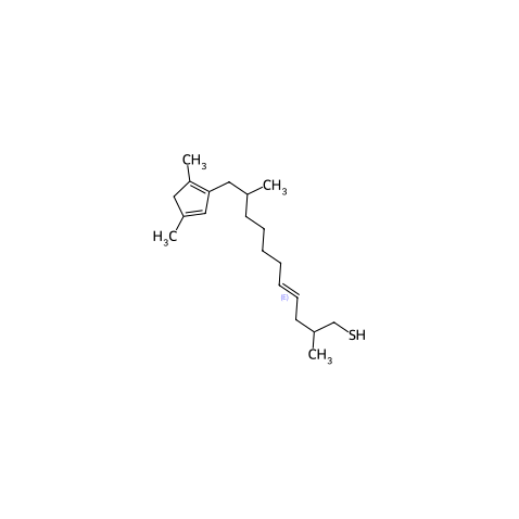 CC1=CC(CC(C)CCCC/C=C/CC(C)CS)=C(C)C1